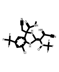 CNC(=O)C1(CC#N)N/C(=C(\C(=N)C#N)[S+]([O-])C(F)(F)F)Nc2c(Cl)cc(C(F)(F)F)cc21